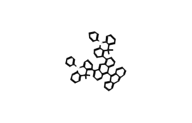 CC1(C)c2ccccc2N(c2ccccc2)c2cccc(-c3cccc4c(-c5c6ccccc6cc6ccccc56)c5cccc(-c6cccc7c6C(C)(C)c6ccccc6N7c6ccccc6)c5cc34)c21